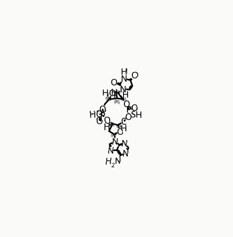 Nc1ncnc2c1ncn2[C@H]1C[C@@H]2OP(=O)(O)OC[C@H]3O[C@@H](n4ccc(=O)[nH]c4=O)[C@H](O[P@](=O)(S)OC[C@H]2O1)[C@@H]3F